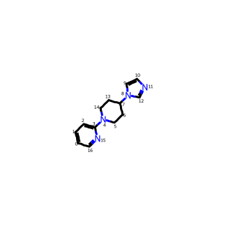 c1ccc(N2CCC(n3ccnc3)CC2)nc1